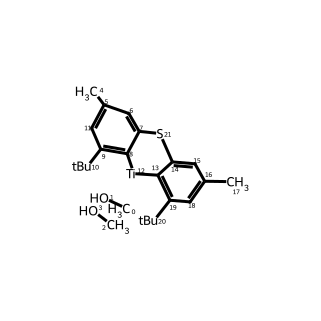 CO.CO.Cc1cc2[c](c(C(C)(C)C)c1)[Ti][c]1c(cc(C)cc1C(C)(C)C)S2